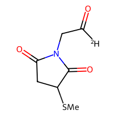 [2H]C(=O)CN1C(=O)CC(SC)C1=O